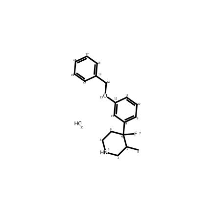 CC1CNCCC1(F)c1cccc(OCc2ccccc2)c1.Cl